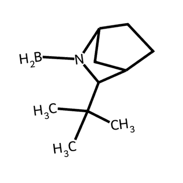 BN1C2CCC(C2)C1C(C)(C)C